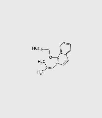 C#CCOc1c(C=C(C)C)ccc2ccccc12